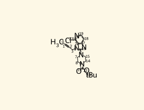 CC#CCn1c(N2CCN(C(=O)OC(C)(C)C)CC2)nc2ccnc(Cl)c21